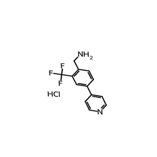 Cl.NCc1ccc(-c2ccncc2)cc1C(F)(F)F